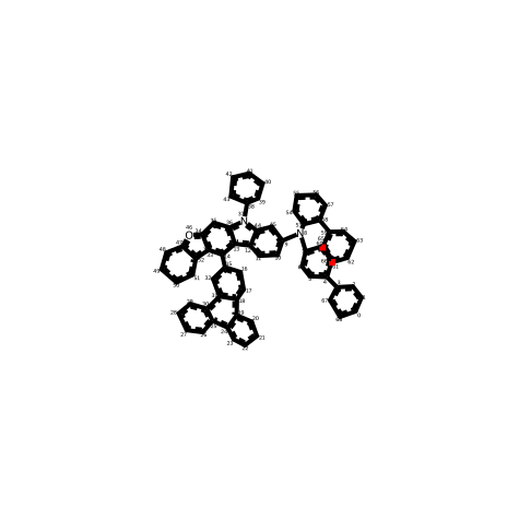 c1ccc(-c2ccc(N(c3ccc4c5c(-c6ccc7c8ccccc8c8ccccc8c7c6)c6c(cc5n(-c5ccccc5)c4c3)oc3ccccc36)c3ccccc3-c3ccccc3)cc2)cc1